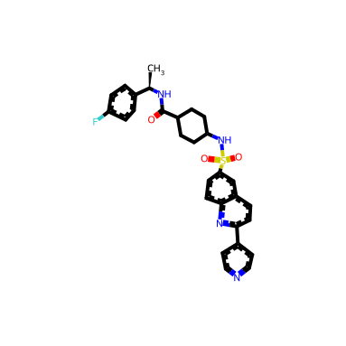 C[C@@H](NC(=O)C1CCC(NS(=O)(=O)c2ccc3nc(-c4ccncc4)ccc3c2)CC1)c1ccc(F)cc1